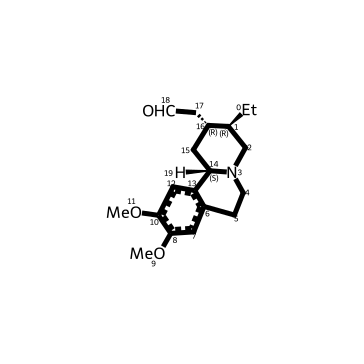 CC[C@H]1CN2CCc3cc(OC)c(OC)cc3[C@@H]2C[C@@H]1CC=O